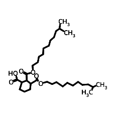 CC(C)CCCCCCCCCOC(=O)C1CCCC(C(=O)O)C1C(=O)OCCCCCCCCCC(C)C